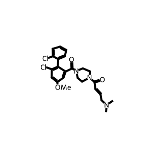 COc1cc(Cl)c(-c2ccccc2Cl)c(C(=O)N2CCN(C(=O)/C=C/CN(C)C)CC2)c1